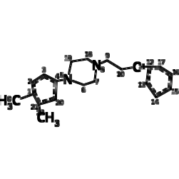 Cc1ccc(N2CCN(CCCc3ccccc3)CC2)cc1C